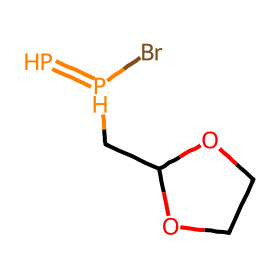 P=[PH](Br)CC1OCCO1